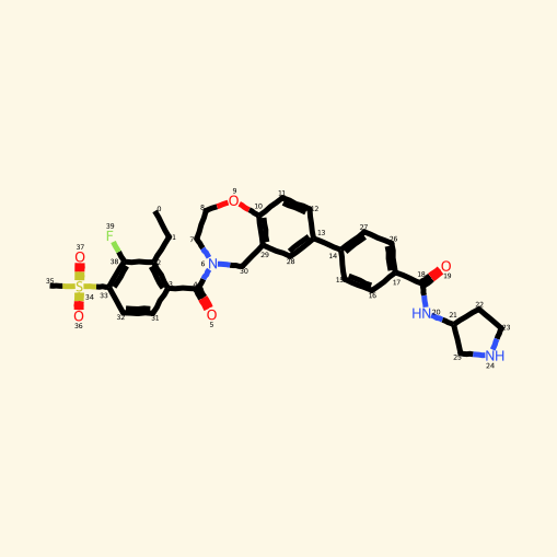 CCc1c(C(=O)N2CCOc3ccc(-c4ccc(C(=O)NC5CCNC5)cc4)cc3C2)ccc(S(C)(=O)=O)c1F